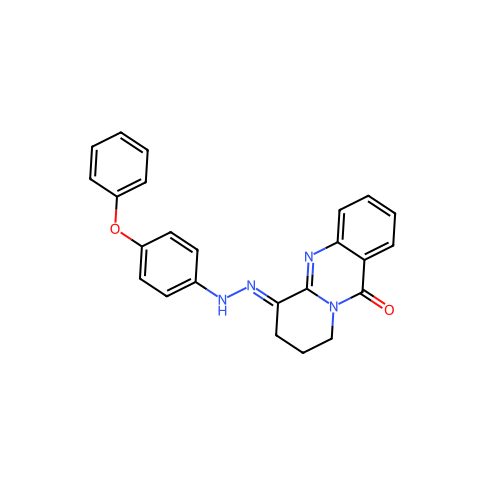 O=c1c2ccccc2nc2n1CCCC2=NNc1ccc(Oc2ccccc2)cc1